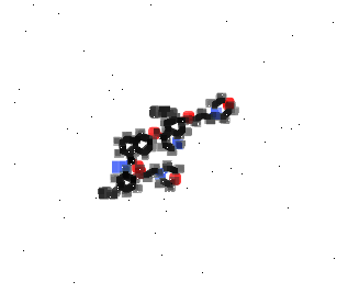 COc1cc2c(Oc3ccc4c(C(=O)Nc5cc(C(C)(C)C)ccc5OCCN5CCOCC5)cccc4c3)ccnc2cc1OCCCN1CCOCC1